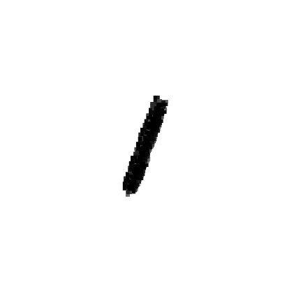 F[C](F)C(F)(F)C(F)(F)C(F)(F)C(F)(F)C(F)(F)C(F)(F)C(F)(F)C(F)(F)C(F)(F)C(F)(F)C(F)(F)C(F)(F)C(F)(F)C(F)(F)C(F)(F)C(F)(F)C(F)(F)F